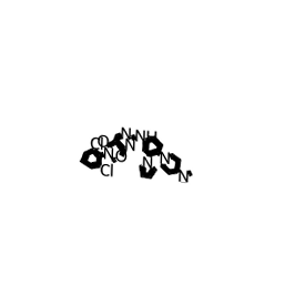 CN(C)C1CCN(c2ccc(Nc3ncc4c(n3)OCN(c3c(Cl)cccc3Cl)C4=O)cc2-n2cccc2)CC1